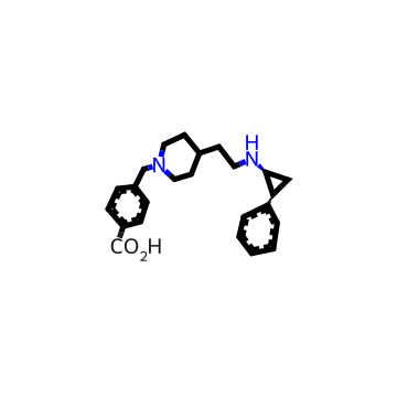 O=C(O)c1ccc(CN2CCC(CCN[C@H]3C[C@@H]3c3ccccc3)CC2)cc1